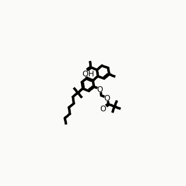 C=C(C)C1CCC(C)=CC1c1c(O)cc(C(C)(C)CCCCCC)cc1OCOC(=O)C(C)(C)C